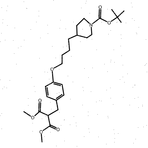 COC(=O)C(Cc1ccc(OCCCCC2CCN(C(=O)OC(C)(C)C)CC2)cc1)C(=O)OC